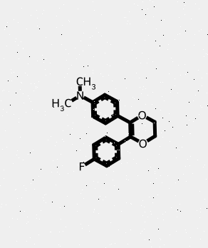 CN(C)c1ccc(C2=C(c3ccc(F)cc3)OCCO2)cc1